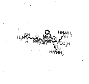 CC(C)[C@H](NC(=O)CNC(=O)[C@@H](N)CCCNC(=N)N)C(=O)N[C@@H](Cc1ccccc1)C(=O)N[C@@H](CCCNC(=N)N)C(=O)N[C@@H](CCCNC(=N)N)C(=O)O